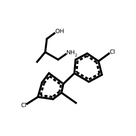 CC(CN)CO.Cc1cc(Cl)ccc1-c1ccc(Cl)cc1